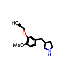 C#CCOc1cc(CC2CCNC2)ccc1OC